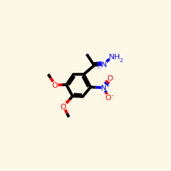 COc1cc(/C(C)=N/N)c([N+](=O)[O-])cc1OC